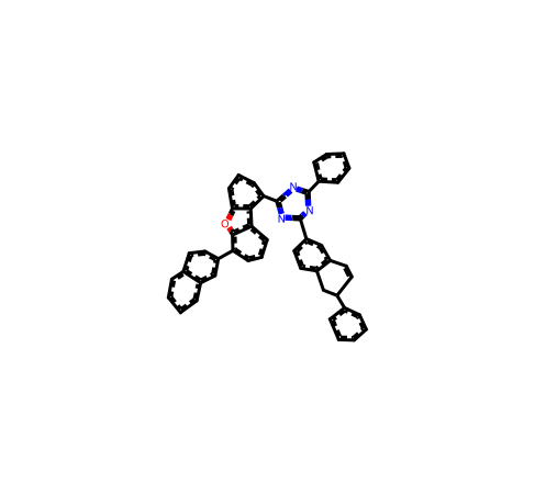 C1=CC(c2ccccc2)Cc2ccc(-c3nc(-c4ccccc4)nc(-c4cccc5oc6c(-c7ccc8ccccc8c7)cccc6c45)n3)cc21